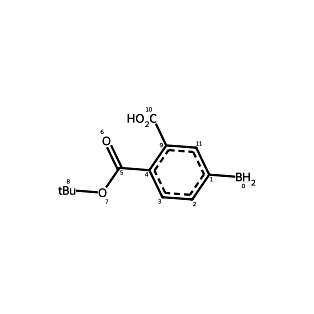 Bc1ccc(C(=O)OC(C)(C)C)c(C(=O)O)c1